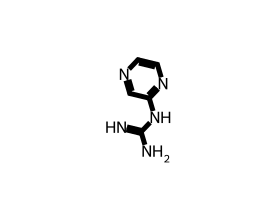 N=C(N)Nc1cnccn1